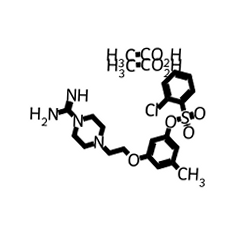 CC(=O)O.CC(=O)O.Cc1cc(OCCN2CCN(C(=N)N)CC2)cc(OS(=O)(=O)c2ccccc2Cl)c1